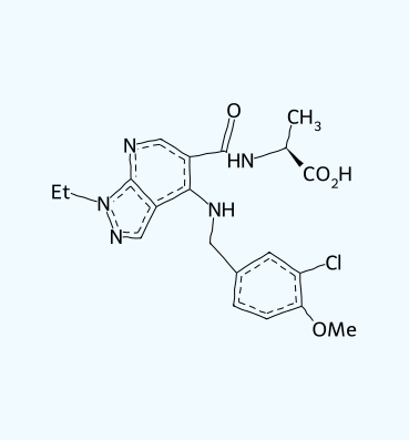 CCn1ncc2c(NCc3ccc(OC)c(Cl)c3)c(C(=O)N[C@@H](C)C(=O)O)cnc21